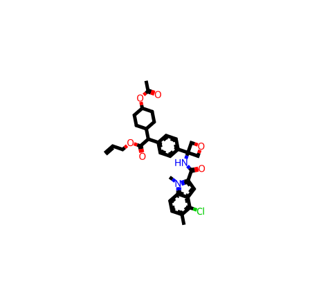 C=CCOC(=O)C(c1ccc(C2(NC(=O)c3cc4c(Cl)c(C)ccc4n3C)COC2)cc1)C1CCC(OC(C)=O)CC1